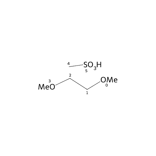 COCCOC.CS(=O)(=O)O